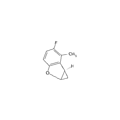 Cc1c(F)ccc2c1[C@H]1CC1O2